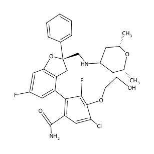 C[C@@H]1CC(NC[C@@]2(c3ccccc3)Cc3c(cc(F)cc3-c3c(C(N)=O)cc(Cl)c(OCCO)c3F)O2)C[C@H](C)O1